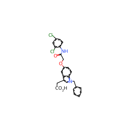 O=C(O)Cc1cn(Cc2ccccc2)c2ccc(OCC(=O)Nc3ccc(Cl)cc3Cl)cc12